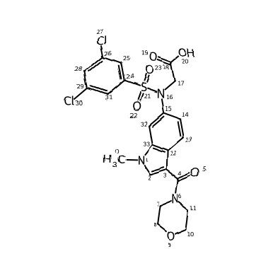 Cn1cc(C(=O)N2CCOCC2)c2ccc(N(CC(=O)O)S(=O)(=O)c3cc(Cl)cc(Cl)c3)cc21